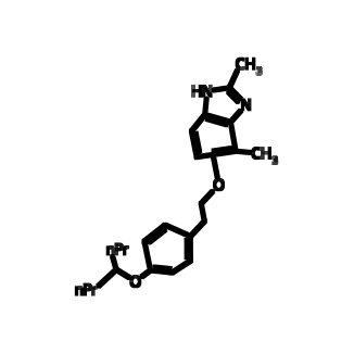 CCCC(CCC)Oc1ccc(CCOc2ccc3[nH]c(C)nc3c2C)cc1